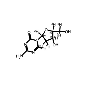 [2H]c1nc(N)nc(=O)n1[C@]1([2H])O[C@]([2H])(C([2H])([2H])O)[C@]([2H])(O)C1([2H])O